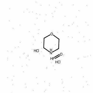 C1COCCN1.Cl.Cl.O=P